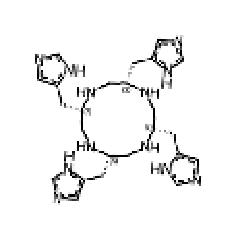 c1ncc(C[C@H]2CN[C@@H](Cc3cnc[nH]3)CN[C@@H](Cc3cnc[nH]3)CN[C@@H](Cc3cnc[nH]3)CN2)[nH]1